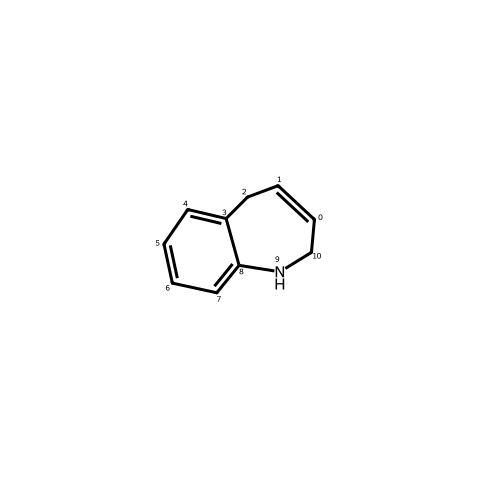 C1=CCc2ccccc2NC1